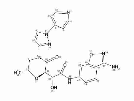 C[C@@H]1CN(c2ccn(-c3ccncc3)n2)C(=O)[C@@H]([C@@H](O)C(=O)Nc2ccc3c(N)noc3c2)O1